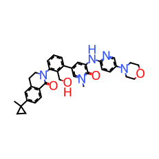 Cn1cc(-c2cccc(N3CCc4cc(C5(C)CC5)ccc4C3=O)c2CO)cc(Nc2ccc(N3CCOCC3)cn2)c1=O